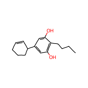 CCCCc1c(O)cc(C2C=CCCC2)cc1O